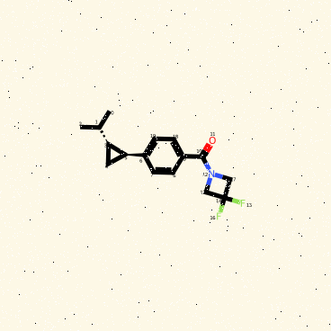 CC(C)[C@H]1C[C@@H]1c1ccc(C(=O)N2CC(F)(F)C2)cc1